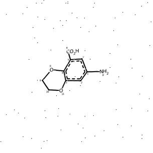 Nc1cc2c(c(C(=O)O)c1)OCCO2